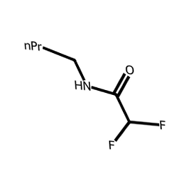 [CH2]CCCNC(=O)C(F)F